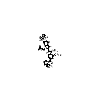 COc1cc(C(=O)N2CCCC23CNC3)cc2nc(-c3cc4ccc(NS(C)(=O)=O)nc4n3CC3CC3)c(C)n12